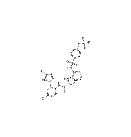 O=C(Nc1ccc(Cl)cc1-c1noc(=O)[nH]1)c1cc2cccc(NS(=O)(=O)c3ccc(OC(F)(F)F)cc3)c2[nH]1